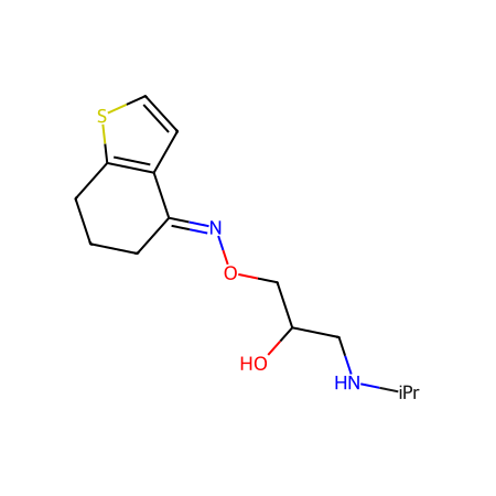 CC(C)NCC(O)CO/N=C1\CCCc2sccc21